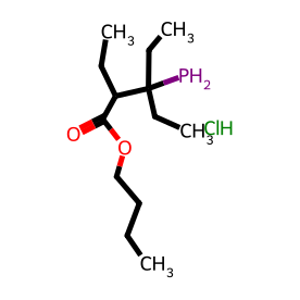 CCCCOC(=O)C(CC)C(P)(CC)CC.Cl